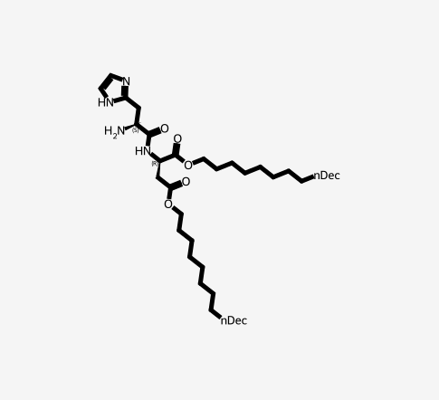 CCCCCCCCCCCCCCCCCCOC(=O)C[C@@H](NC(=O)[C@@H](N)Cc1ncc[nH]1)C(=O)OCCCCCCCCCCCCCCCCCC